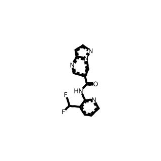 O=C(Nc1ncccc1C(F)F)c1cnc2ccnn2c1